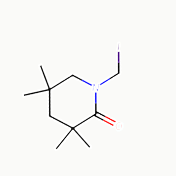 CC1(C)CN(CI)C(=O)C(C)(C)C1